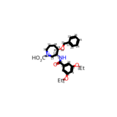 CCOc1cc(OCC)cc(C(=O)N[C@@H]2CN(C(=O)O)CCC[C@H]2OCc2ccccc2)c1